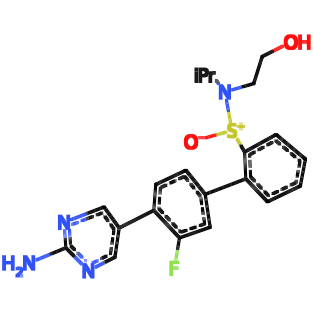 CC(C)N(CCO)[S+]([O-])c1ccccc1-c1ccc(-c2cnc(N)nc2)c(F)c1